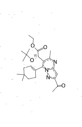 CCOC(=O)[C@@H](OC(C)(C)C)c1c(C)nc2cc(C(C)=O)nn2c1C1=CCC(C)(C)CC1